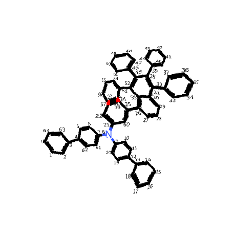 c1ccc(-c2ccc(N(c3ccc(-c4ccccc4)cc3)c3cccc(-c4cccc5c(-c6ccccc6)c(-c6ccccc6)c(-c6ccccc6)c(-c6ccccc6)c45)c3)cc2)cc1